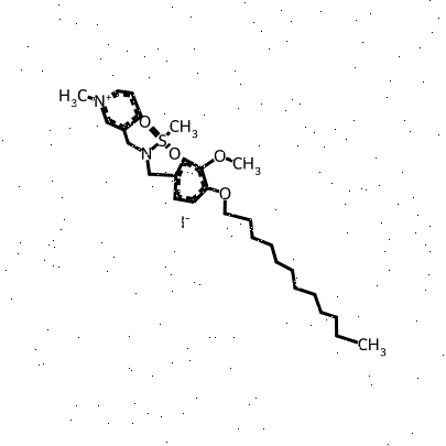 CCCCCCCCCCCCOc1ccc(CN(Cc2ccc[n+](C)c2)S(C)(=O)=O)cc1OC.[I-]